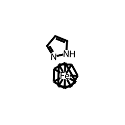 [CH]12[CH]3[CH]4[CH]5[CH]1[Fe]23451678[CH]2[CH]1[CH]6[CH]7[CH]28.c1cn[nH]c1